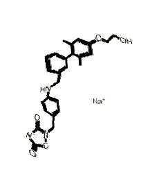 Cc1cc(OCCO)cc(C)c1-c1cccc(CNc2ccc(Cn3oc(=O)[n-]c3=O)cc2)c1.[Na+]